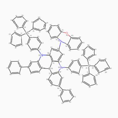 c1ccc(-c2ccc3c(c2)N(c2ccc([Si](c4ccccc4)(c4ccccc4)c4ccccc4)cc2)c2cc(N4c5ccccc5Oc5ccccc54)cc4c2B3c2ccc(-c3ccccc3)cc2N4c2ccc([Si](c3ccccc3)(c3ccccc3)c3ccccc3)cc2)cc1